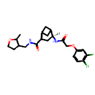 CC1OCCC1CNC(=O)C1C[C@H](NC(=O)COc2ccc(Cl)c(F)c2)C2CC1C2